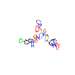 O=C(CC1CN(S(=O)(=O)c2cc3cc(Cl)ccc3[nH]2)CCN1C(=O)C1CC=C(c2cc[n+]([O-])cc2)CC1)N1CCCCC1